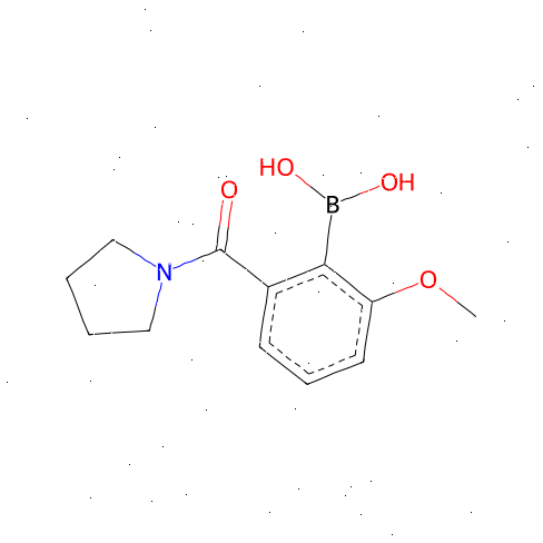 COc1cccc(C(=O)N2CCCC2)c1B(O)O